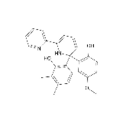 COc1ccc(O)c(C2(c3ccc(C)c(C)c3O)C=CC=C(c3ccccn3)N2)c1